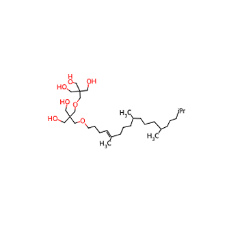 CC(=CCCCOCC(CO)(CO)COCC(CO)(CO)CO)CCCC(C)CCCC(C)CCCC(C)C